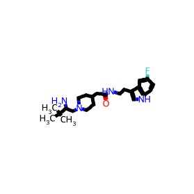 CC(C)(C)C(N)CN1CCC(CC(=O)NCCc2c[nH]c3ccc(F)cc23)CC1